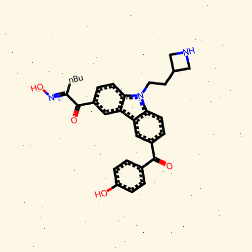 CCCC/C(=N\O)C(=O)c1ccc2c(c1)c1cc(C(=O)c3ccc(O)cc3)ccc1n2CCC1CNC1